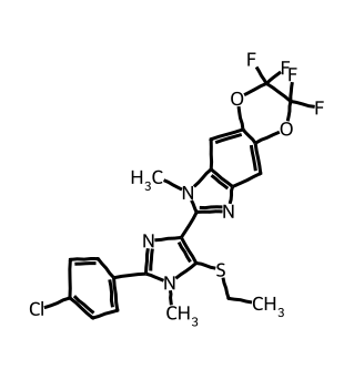 CCSc1c(-c2nc3cc4c(cc3n2C)OC(F)(F)C(F)(F)O4)nc(-c2ccc(Cl)cc2)n1C